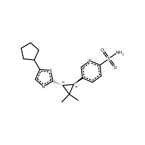 CC1(C)[C@H](c2ccc(S(N)(=O)=O)nc2)[C@H]1c1ncc(C2CCCC2)s1